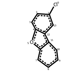 Clc1ccc2oc3c[c]ccc3c2c1